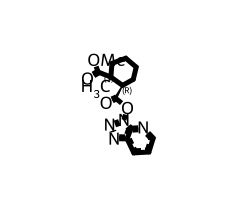 COC(=O)[C@@]1(C)CCCC[C@H]1C(=O)On1nnc2cccnc21